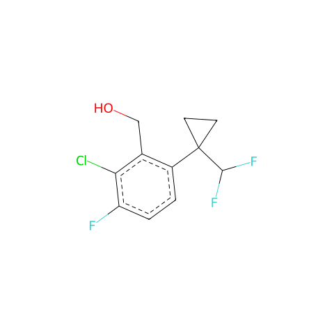 OCc1c(C2(C(F)F)CC2)ccc(F)c1Cl